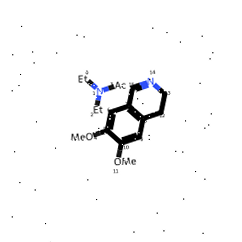 CCN(CC)C(C)=O.COc1cc2c(cc1OC)CCN=C2